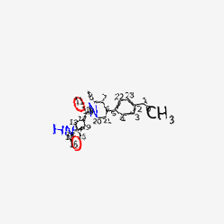 CCc1ccc(C2CCN(C(=O)C3CC4(COCN4)C3)CC2)cc1